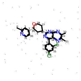 Cc1cc([C@H]2C[C@@H](c3nc(-c4ccc(Cl)cc4F)c4nc(C)c(C)nc4n3)CCO2)ccn1